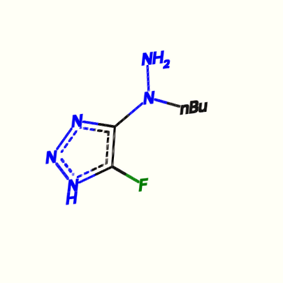 CCCCN(N)c1nn[nH]c1F